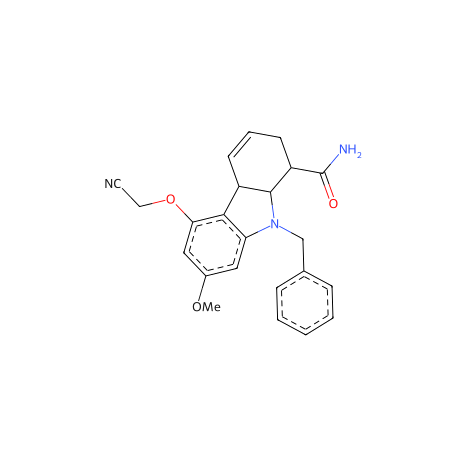 COc1cc(OCC#N)c2c(c1)N(Cc1ccccc1)C1C(C(N)=O)CC=CC21